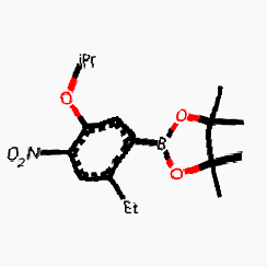 CCc1cc([N+](=O)[O-])c(OC(C)C)cc1B1OC(C)(C)C(C)(C)O1